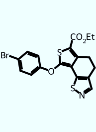 CCOC(=O)c1sc(Oc2ccc(Br)cc2)c2c1CCc1cnsc1-2